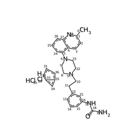 Cc1ccc2c(N3CCN(CCc4cccc(NC(N)=O)c4)CC3)cccc2n1.Cl.Cl.c1cc2cc-2c1